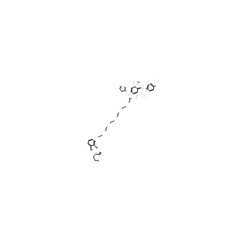 O=C1CCC(N2C(=O)c3cccc(SCCOCCOCCOCCOCCOCC(=O)Nc4cc5c(Nc6ccc(F)c(Cl)c6)ncnc5cc4O[C@H]4CCOC4)c3C2=O)C(=O)N1